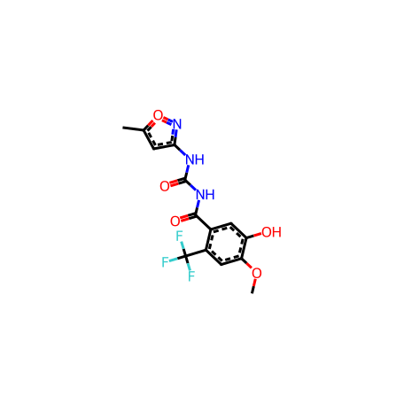 COc1cc(C(F)(F)F)c(C(=O)NC(=O)Nc2cc(C)on2)cc1O